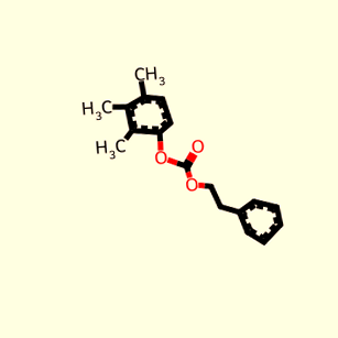 Cc1ccc(OC(=O)OCCc2ccccc2)c(C)c1C